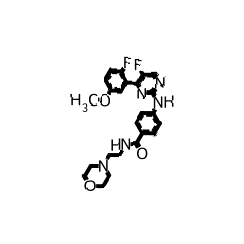 COc1ccc(F)c(-c2nc(Nc3ccc(C(=O)NCCN4CCOCC4)cc3)ncc2F)c1